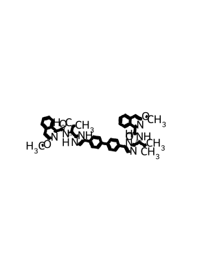 COc1cc2ccccc2c(C(=O)N[C@H](c2ncc(-c3ccc(-c4ccc(-c5cnc([C@@H](NC(=O)c6nc(OC)cc7ccccc67)C(C)C)[nH]5)cc4)cc3)[nH]2)C(C)C)n1